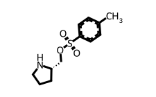 Cc1ccc(S(=O)(=O)OC[C@@H]2CCCN2)cc1